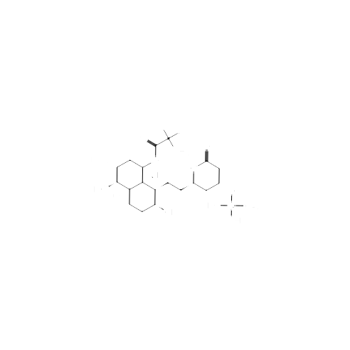 CCC(C)(C)C(=O)OC1C[C@@H](C)[C@H](O)[C@]2(Br)CC[C@H](C)[C@H](CC[C@@H]3C[C@@H](O[Si](C)(C)C(C)(C)C)CC(=O)O3)[C@H]12